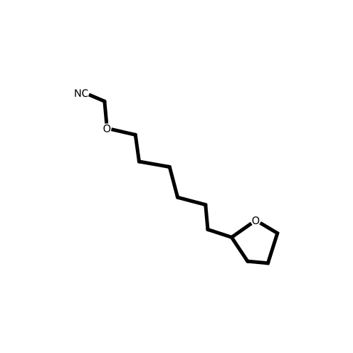 N#CCOCCCCCCC1CCCO1